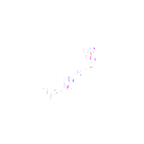 CC1(C)C(NC(=O)c2ccc(C3CCN(CCCOc4ccc5c(c4)C(=O)N(C4CCC(=O)NC4=O)C5=O)CC3)nc2)C(C)(C)C1Oc1ccc(C#N)c(Cl)c1